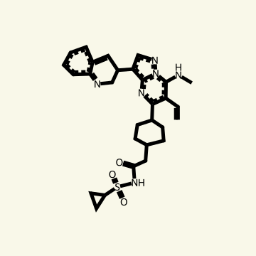 C=Cc1c(C2CCC(CC(=O)NS(=O)(=O)C3CC3)CC2)nc2c(C3C=c4ccccc4=NC3)cnn2c1NC